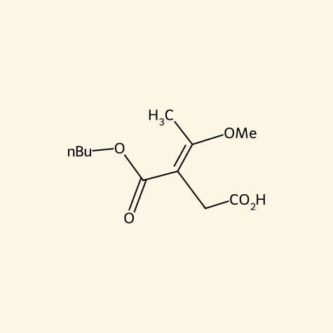 CCCCOC(=O)C(CC(=O)O)=C(C)OC